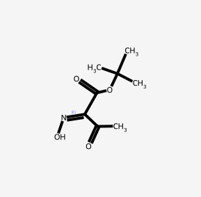 CC(=O)/C(=N\O)C(=O)OC(C)(C)C